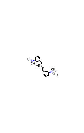 CN(C)c1cccc(C=C[SiH]Cc2cccc(N(C)C)c2)c1